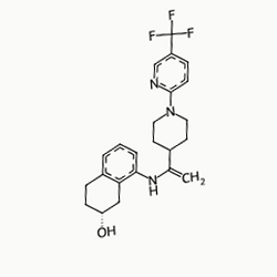 C=C(Nc1cccc2c1C[C@H](O)CC2)C1CCN(c2ccc(C(F)(F)F)cn2)CC1